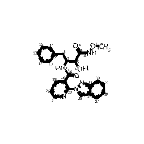 CONC(=O)C(O)C(Cc1ccccc1)NC(=O)c1cccnc1-n1cc2ccccc2n1